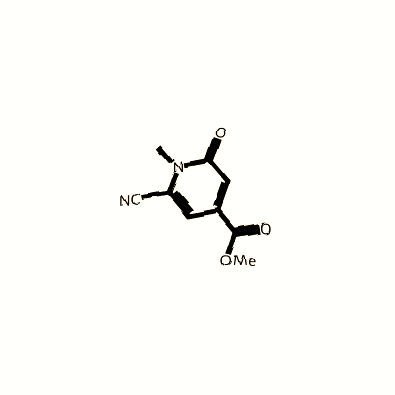 COC(=O)c1cc(C#N)n(C)c(=O)c1